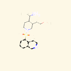 COCCC1CN(S(=O)(=O)c2cccc3cnccc23)CCC1C(C)N